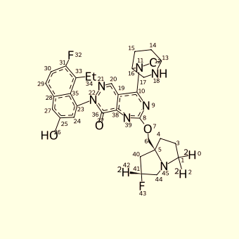 [2H]C1([2H])CC[C@@]2(COc3nc(N4CC5CCC4CN5)c4cnn(-c5cc(O)cc6ccc(F)c(CC)c56)c(=O)c4n3)C[C@@]([2H])(F)CN12